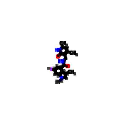 Cc1cc(C)c(CNC(=O)c2cc(I)cc3c2c(C)cn3C(C)C)c(=O)[nH]1